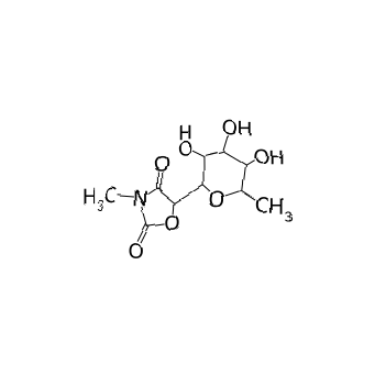 CC1OC(C2OC(=O)N(C)C2=O)C(O)C(O)C1O